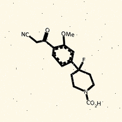 COc1cc(C2(F)CCN(C(=O)O)CC2)ccc1C(=O)CC#N